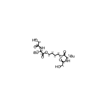 CCC(C)[C@H](NC(=O)CO)C(=O)OCCCCOC(=O)[C@H](NC(=O)CO)C(C)CC